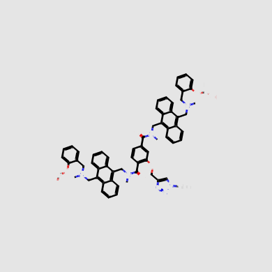 CCCCn1cc(COc2cc(C(=O)N(C)Cc3c4ccccc4c(CN(C)Cc4ccccc4OBO)c4ccccc34)ccc2C(=O)N(C)Cc2c3ccccc3c(CN(C)Cc3ccccc3OBO)c3ccccc23)nn1